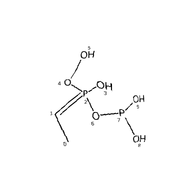 CC=P(O)(OO)OP(O)O